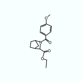 CCOC(=O)C1C2CCC(C2)N1C(=O)c1ccc(OC)cc1